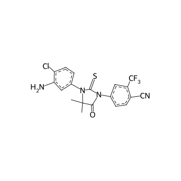 CC1(C)C(=O)N(c2ccc(C#N)c(C(F)(F)F)c2)C(=S)N1c1ccc(Cl)c(N)c1